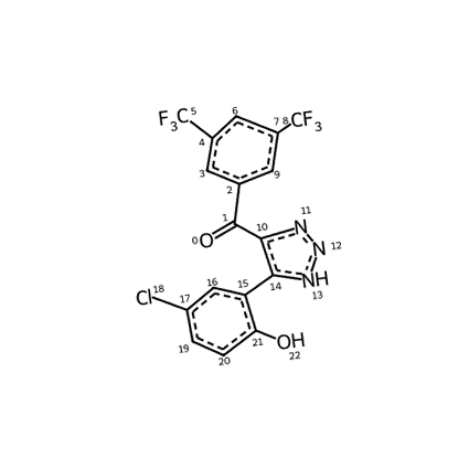 O=C(c1cc(C(F)(F)F)cc(C(F)(F)F)c1)c1nn[nH]c1-c1cc(Cl)ccc1O